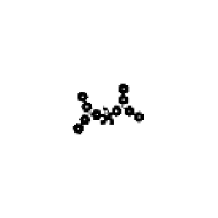 CCc1c(CC)c(-c2ccc(N(c3ccc(-c4ccccc4)cc3)c3ccc(-c4ccccc4)cc3)cc2)p(CC)c1-c1ccc(N(c2ccc(-c3ccccc3)cc2)c2ccc(-c3ccccc3)cc2)cc1